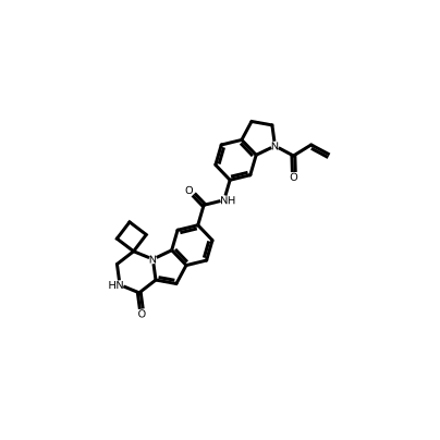 C=CC(=O)N1CCc2ccc(NC(=O)c3ccc4cc5n(c4c3)C3(CCC3)CNC5=O)cc21